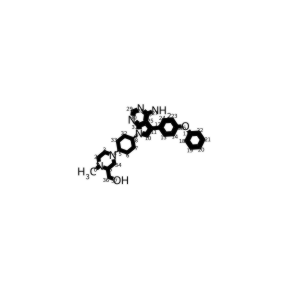 CN1CCN([C@H]2CC[C@H](n3cc(-c4ccc(Oc5ccccc5)cc4)c4c(N)ncnc43)CC2)CC1CO